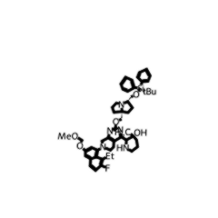 CCc1c(F)ccc2cc(OCOC)cc(N3CCc4c(nc(OC[C@]56CCCN5[C@H](CO[Si](c5ccccc5)(c5ccccc5)C(C)(C)C)CC6)nc4C4NCCCC4(C)O)C3)c12